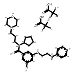 O=C(O)C(F)(F)F.O=C(O)C(F)(F)F.O=C(c1cc(Cl)cc(OCCNc2ccncc2)c1)N(CCCN1CCOCC1)C1CCCC1